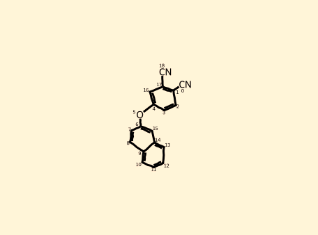 N#Cc1ccc(Oc2ccc3ccccc3c2)cc1C#N